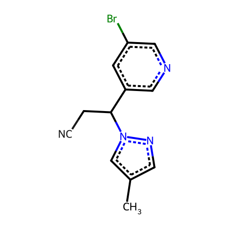 Cc1cnn(C(CC#N)c2cncc(Br)c2)c1